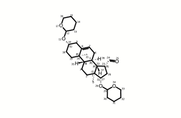 C[C@]12CC[C@H]3[C@@H](CC=C4C[C@@H](OC5CCCCO5)CC[C@@]43C)[C@@H]1[C@H](C=O)C[C@@H]2OC1CCCCO1